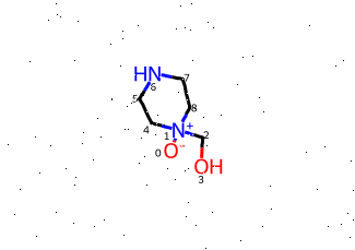 [O-][N+]1(CO)CCNCC1